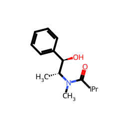 CC(C)C(=O)N(C)[C@H](C)[C@H](O)c1ccccc1